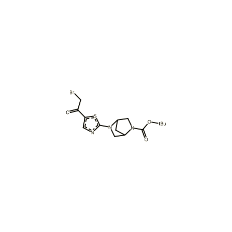 CC(C)(C)OC(=O)N1CC2CC1CN2c1ncc(C(=O)CBr)s1